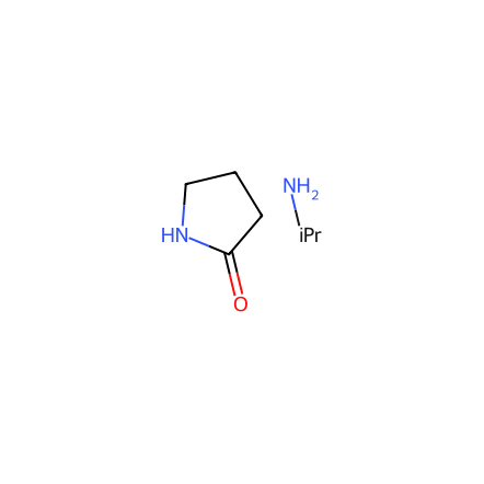 CC(C)N.O=C1CCCN1